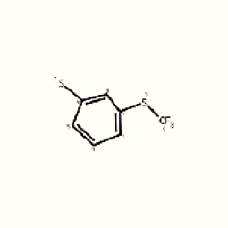 FC(F)(F)Sc1cccc([S])c1